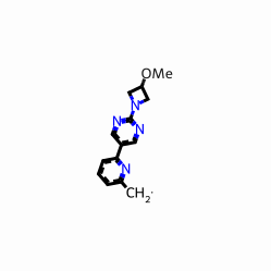 [CH2]c1cccc(-c2cnc(N3CC(OC)C3)nc2)n1